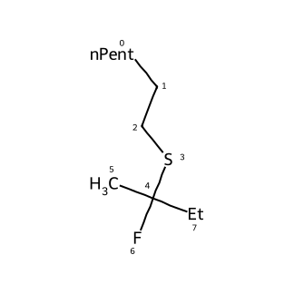 CCCCCCCSC(C)(F)CC